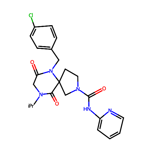 CC(C)N1CC(=O)N(Cc2ccc(Cl)cc2)C2(CCN(C(=O)Nc3ccccn3)C2)C1=O